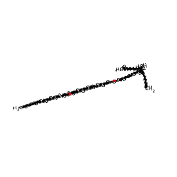 C=CCCCCCCCCCC(CCCCCCCCCCC(=O)O)(C(=O)O)C(=O)NCCOCCOCCOCCOCCOCCOCCOCCOCCOCCOCCOCCOCCOCCOCCOCCOCCOCCOCCOCCOCCOCCOCCOCCC